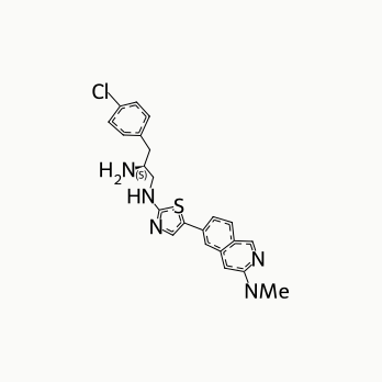 CNc1cc2cc(-c3cnc(NC[C@@H](N)Cc4ccc(Cl)cc4)s3)ccc2cn1